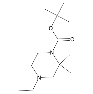 CCN1CCN(C(=O)OC(C)(C)C)C(C)(C)C1